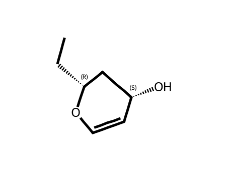 CC[C@@H]1C[C@H](O)C=CO1